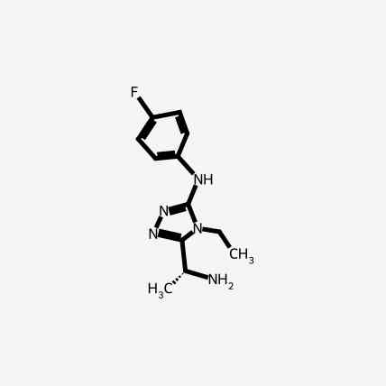 CCn1c(Nc2ccc(F)cc2)nnc1[C@@H](C)N